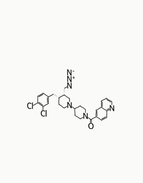 [N-]=[N+]=NC[C@@H]1CN(C2CCN(C(=O)c3ccc4ncccc4c3)CC2)CC[C@@H]1Cc1ccc(Cl)c(Cl)c1